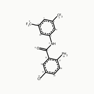 O=C(Nc1cc(C(F)(F)F)cc(C(F)(F)F)c1)c1cc(Cl)ccc1P